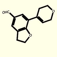 O=Cc1cc2c(c(C3=CCOCC3)c1)OCC2